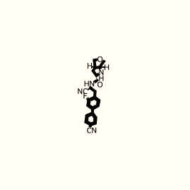 N#Cc1ccc(-c2ccc(C[C@@H](C#N)NC(=O)[C@@H]3C[C@@H]4COC[C@@H]4N3)c(F)c2)cc1